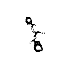 O=C(OCC(CS)OC(=O)C1CC2C=CC1C2)C1CC2C=CC1C2